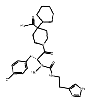 O=C([C@@H](Cc1ccc(Cl)cc1)N(S)C(=O)NCCc1c[nH]cn1)N1CCC(C(=O)O)(C2CCCCC2)CC1